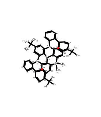 CC(C)(C)c1cc2c3c(c1)N(c1ccccc1-c1ccc(C(F)(F)F)cc1)c1cccc4c1B3c1c(cccc1[Si]4(C)C)N2c1ccccc1-c1ccc(C(F)(F)F)cc1